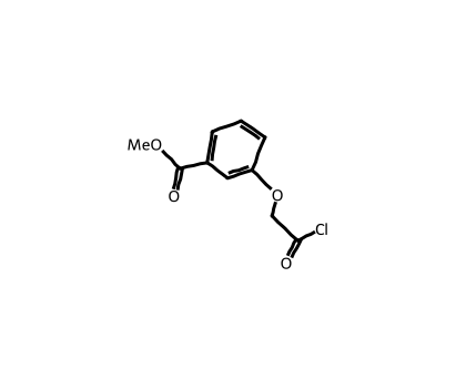 COC(=O)c1cccc(OCC(=O)Cl)c1